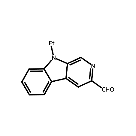 CCn1c2ccccc2c2cc(C=O)ncc21